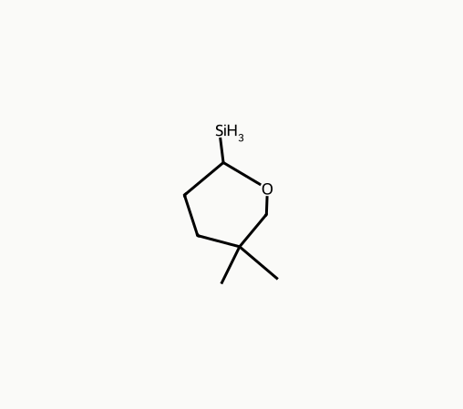 CC1(C)CCC([SiH3])OC1